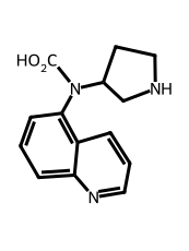 O=C(O)N(c1cccc2ncccc12)C1CCNC1